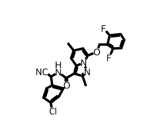 Cc1cc(OCc2c(F)cccc2F)n2nc(C)c(C(=O)NC(C#N)c3ccc(Cl)cc3)c2c1